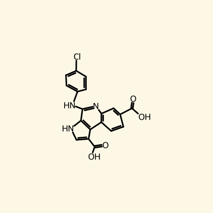 O=C(O)c1ccc2c(c1)nc(Nc1ccc(Cl)cc1)c1[nH]cc(C(=O)O)c12